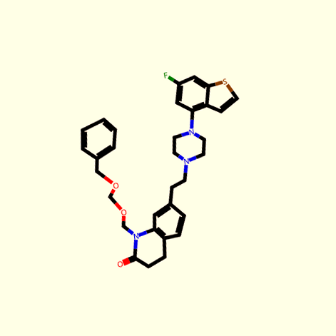 O=C1CCc2ccc(CCN3CCN(c4cc(F)cc5sccc45)CC3)cc2N1COCOCc1ccccc1